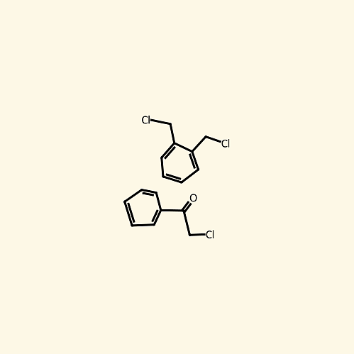 ClCc1ccccc1CCl.O=C(CCl)c1ccccc1